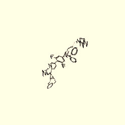 N#CC1(c2ccc(-c3c(F)cc(N4C[C@H](Cn5ccnn5)OC4=O)cc3F)cn2)C2COCC21